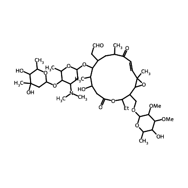 CCC1OC(=O)CC(O)C(C)C(OC2CC(N(C)C)C(OC3CC(C)(O)C(O)C(C)O3)C(C)O2)C(CC=O)CC(C)C(=O)/C=C/C2(C)OC2C1COC1OC(C)C(O)C(OC)C1OC